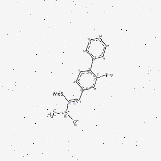 CS/C(=C\c1ccc(-c2ccccc2)c(F)c1)[S+](C)[O-]